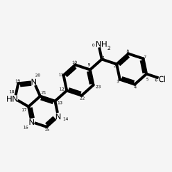 NC(c1ccc(Cl)cc1)c1ccc(-c2ncnc3[nH]cnc23)cc1